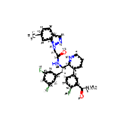 CNC(=O)c1cc(-c2cccnc2[C@H](Cc2cc(F)cc(F)c2)NC(=O)Cn2ncc3ccc(C(F)(F)F)cc32)ccc1F